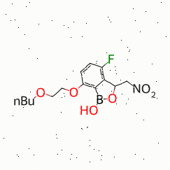 CCCCOCCOc1ccc(F)c2c1B(O)OC2C[N+](=O)[O-]